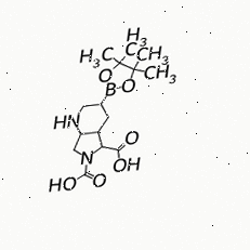 CC1(C)OB(C2CNC3CN(C(=O)O)C(C(=O)O)C3C2)OC1(C)C